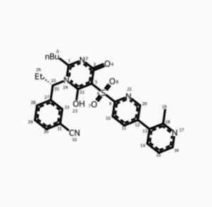 CCCCc1nc(=O)c(S(=O)(=O)c2ccc(-c3cccnc3C)cn2)c(O)n1[C@@H](CC)c1cccc(C#N)c1